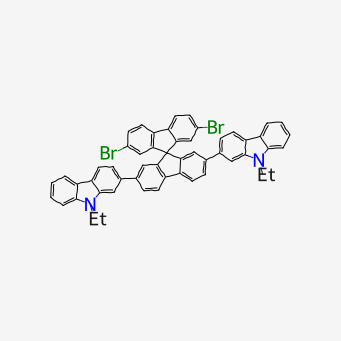 CCn1c2ccccc2c2ccc(-c3ccc4c(c3)C3(c5cc(Br)ccc5-c5ccc(Br)cc53)c3cc(-c5ccc6c7ccccc7n(CC)c6c5)ccc3-4)cc21